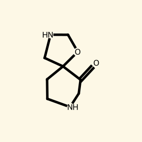 O=C1CNCCC12CNCO2